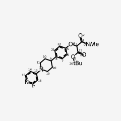 CNC(=O)C(Oc1ccc(C2CCN(c3ccncc3)CC2)cc1)C(=O)OC(C)(C)C